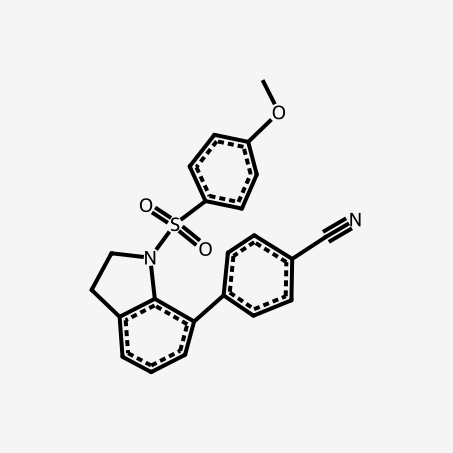 COc1ccc(S(=O)(=O)N2CCc3cccc(-c4ccc(C#N)cc4)c32)cc1